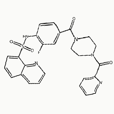 O=C(c1ccc(NS(=O)(=O)c2cccc3cccnc23)c(F)c1)N1CCN(C(=O)c2ccccn2)CC1